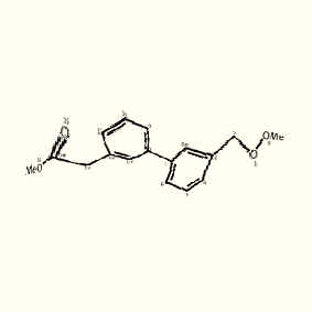 COOCc1cccc(-c2cccc(CC(=O)OC)c2)c1